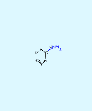 N[C]1CC=CCC1